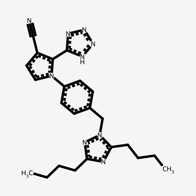 CCCCc1nc(CCCC)n(Cc2ccc(-n3ccc(C#N)c3-c3nnn[nH]3)cc2)n1